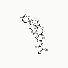 C[C@]12CC[C@H](OC(=O)C(=O)O)CC1=CC[C@@H]1[C@@H]2CC[C@]2(C)C(c3cccnc3)=CC[C@@H]12